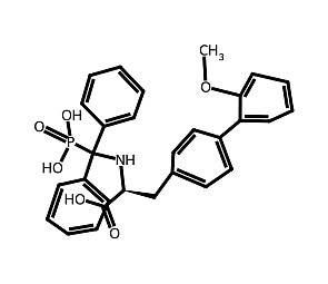 COc1ccccc1-c1ccc(C[C@H](NC(c2ccccc2)(c2ccccc2)P(=O)(O)O)C(=O)O)cc1